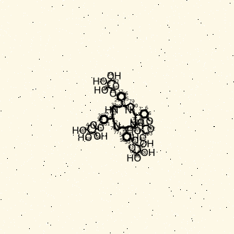 O[C@@H]1[C@H](Oc2cccc(-c3c4nc(c(-c5cccc(O[C@@H]6OC[C@@H](O)[C@@H](O)[C@@H]6O)c5)c5ccc([nH]5)c(-c5cccc(O[C@@H]6OC[C@@H](O)[C@@H](O)[C@@H]6O)c5)c5nc(c(-c6cccc(O[C@@H]7OC[C@@H](O)[C@@H](O)[C@@H]7O)c6)c6ccc3[nH]6)CC5)CC4)c2)OC[C@@H](O)[C@H]1O